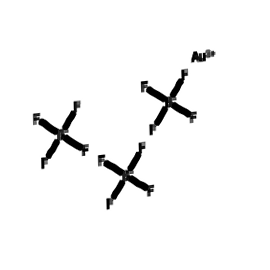 F[B-](F)(F)F.F[B-](F)(F)F.F[B-](F)(F)F.[Au+3]